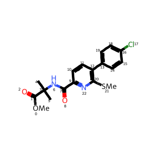 COC(=O)C(C)(C)NC(=O)c1ccc(-c2ccc(Cl)cc2)c(SC)n1